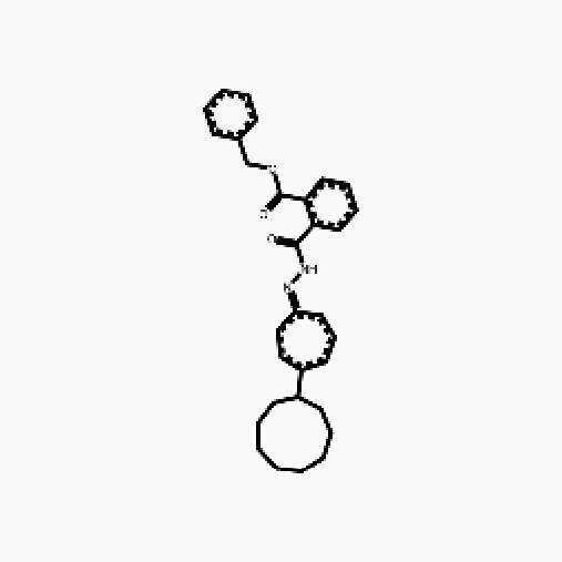 O=C(N/N=c1\cccc(C2CCCCCCCC2)cc1)c1ccccc1C(=O)OCc1ccccc1